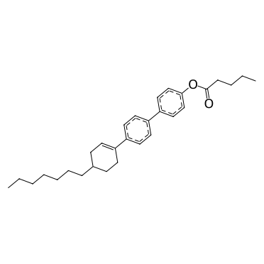 CCCCCCCC1CC=C(c2ccc(-c3ccc(OC(=O)CCCC)cc3)cc2)CC1